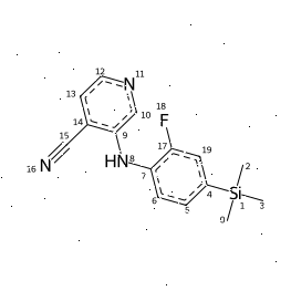 C[Si](C)(C)c1ccc(Nc2cnccc2C#N)c(F)c1